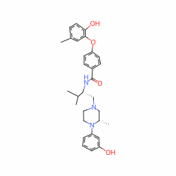 Cc1ccc(O)c(Oc2ccc(C(=O)N[C@H](CN3CCN(c4cccc(O)c4)[C@@H](C)C3)C(C)C)cc2)c1